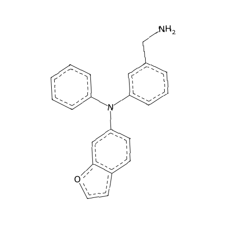 NCc1cccc(N(c2ccccc2)c2ccc3ccoc3c2)c1